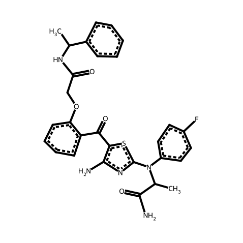 CC(NC(=O)COc1ccccc1C(=O)c1sc(N(c2ccc(F)cc2)C(C)C(N)=O)nc1N)c1ccccc1